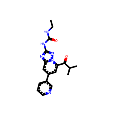 CCNC(=O)Nc1nc2cc(-c3cccnc3)cc(C(=O)C(C)C)n2n1